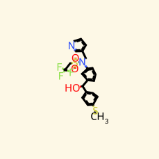 CSc1ccc(C(O)c2cccc(N(Cc3cccnc3)S(=O)(=O)CC(F)(F)F)c2)cc1